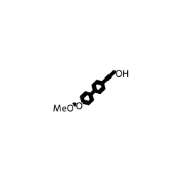 COCOc1ccc(-c2ccc(C#CCO)cc2)cc1